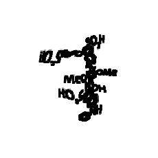 COc1cc(N=Nc2c(S(=O)(=O)O)cc3cc(Nc4ccccc4)ccc3c2O)c(OC)cc1N=Nc1ccc2cc(S(=O)(=O)O)cc(OCCCS(=O)(=O)O)c2c1